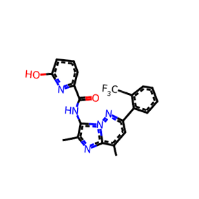 Cc1nc2c(C)cc(-c3ccccc3C(F)(F)F)nn2c1NC(=O)c1cccc(O)n1